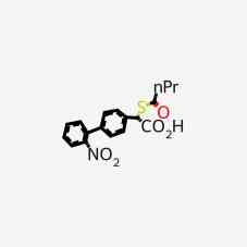 CCCC(=O)SC(C(=O)O)c1ccc(-c2ccccc2[N+](=O)[O-])cc1